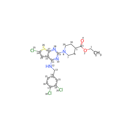 CCOC(=O)C1CCN(c2nc(NCc3ccc(Cl)c(Cl)c3)c3cc(Cl)sc3n2)CC1